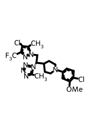 COc1cc(N2CCC(C(Cn3nc(C(F)(F)F)c(Cl)c3C)n3nnnc3C)CC2)ccc1Cl